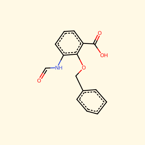 O=CNc1cccc(C(=O)O)c1OCc1ccccc1